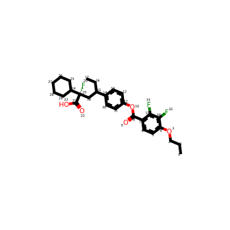 CCCOc1ccc(C(=O)Oc2ccc(C(CC)C[C@@](F)(C(=O)O)C3CCCCC3)cc2)c(F)c1F